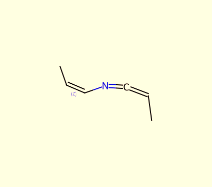 CC=C=N/C=C\C